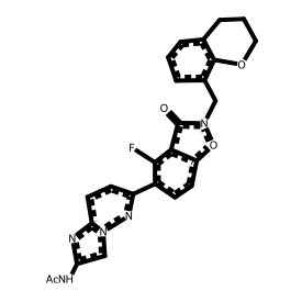 CC(=O)Nc1cn2nc(-c3ccc4on(Cc5cccc6c5OCCC6)c(=O)c4c3F)ccc2n1